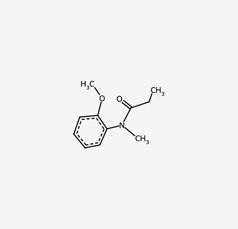 CCC(=O)N(C)c1ccccc1OC